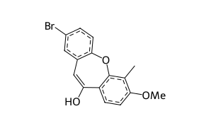 COc1ccc2c(c1C)Oc1ccc(Br)cc1C=C2O